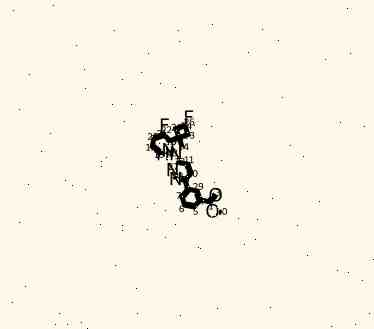 COC(=O)c1cccc(-c2ccc(NCC3(c4ncccc4F)CC(F)C3)nn2)c1